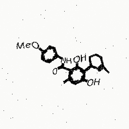 COc1ccc(NC(=O)c2c(C)cc(O)c(C3C=C(C)CCC3)c2O)cc1